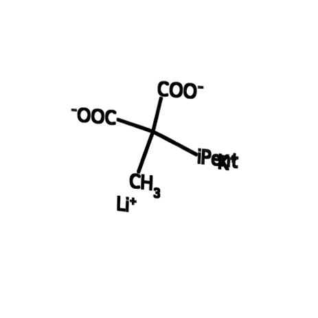 CCCC(C)C(C)(C(=O)[O-])C(=O)[O-].[K+].[Li+]